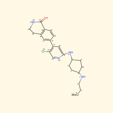 COCCNC1CCC(Nc2cc(-c3ccc4c(c3)CCNC4=O)c(Cl)cn2)CC1